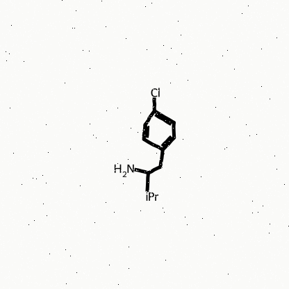 CC(C)C(N)Cc1ccc(Cl)cc1